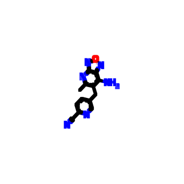 Cc1nc2nonc2c(N)c1Cc1ccc(C#N)nc1